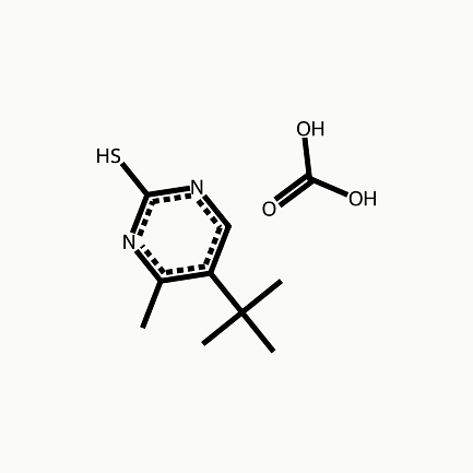 Cc1nc(S)ncc1C(C)(C)C.O=C(O)O